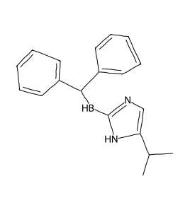 CC(C)c1cnc(BC(c2ccccc2)c2ccccc2)[nH]1